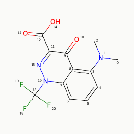 CN(C)c1cccc2c1c(=O)c(C(=O)O)nn2C(F)(F)F